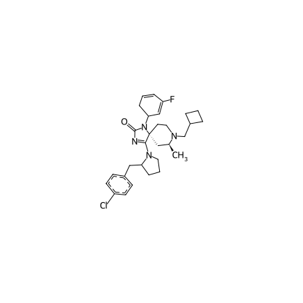 C[C@H]1C[C@]2(CCN1CC1CCC1)C(N1CCCC1Cc1ccc(Cl)cc1)=NC(=O)N2C1C=C(F)C=CC1